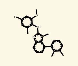 COc1cc(Cl)cc(C)c1Nc1nc2cccc(-c3cccc(C)c3C)c2n1C